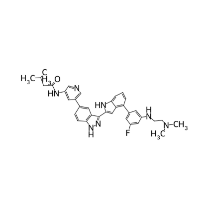 CC(C)CC(=O)Nc1cncc(-c2ccc3[nH]nc(-c4cc5c(-c6cc(F)cc(NCCN(C)C)c6)cccc5[nH]4)c3c2)c1